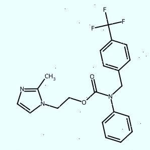 Cc1nccn1CCOC(=O)N(Cc1ccc(C(F)(F)F)cc1)c1ccccc1